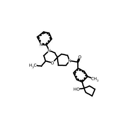 CCC1CN(c2ccccn2)CC2(CCN(C(=O)c3ccc(C4(O)CCCC4)c(C)c3)CC2)O1